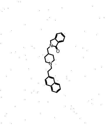 O=C1c2ccccc2CN1CC1CCN(CCc2ccc3ccccc3c2)CC1